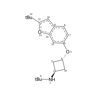 CC(C)(C)N[C@H]1C[C@H](Oc2ccc3cc(C(C)(C)C)oc3c2)C1